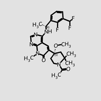 CO[C@@]1(c2cc3c(N[C@H](C)c4cccc(C(F)F)c4F)ncnc3n(C)c2=O)CCN(C(C)=O)C(C)(C)C1